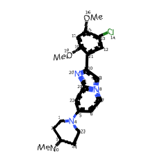 CNC1CCN(c2ccn3cc(-c4cc(Cl)c(OC)cc4OC)nc3c2)CC1